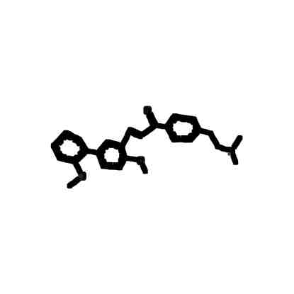 COc1ccc(-c2ccccc2OC)cc1C=CC(=O)c1ccc(CCN(C)C)cc1